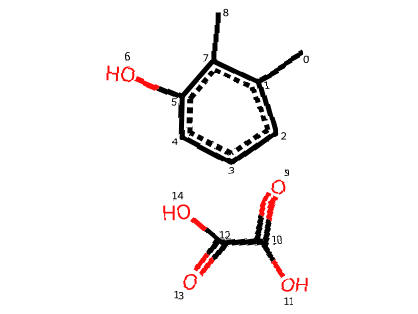 Cc1cccc(O)c1C.O=C(O)C(=O)O